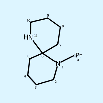 CC(C)N1CCCCC12CCCCN2